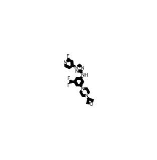 Fc1cc(-n2cnc(Nc3cc(C(F)F)cc(N4CCN(C5COC5)CC4)c3)n2)ccn1